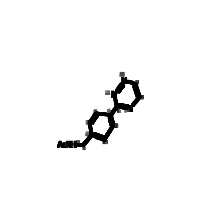 CC(=O)NCc1ccc(-c2nccnn2)cc1